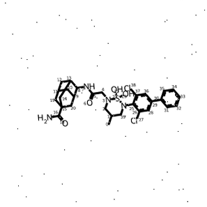 CC1CN(CC(=O)NC2C3CC4CC2CC(C(N)=O)(C4)C3)S(O)(O)N(c2c(Cl)cc(-c3ccccc3)cc2Cl)C1